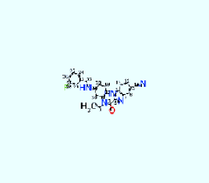 CCN(C(=O)c1nc2cc(C#N)ccc2[nH]1)[C@H]1CCC[C@@H](NCc2cccc(F)c2)C1